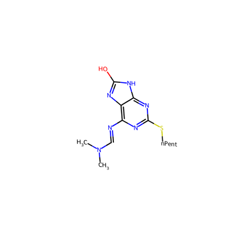 CCCCCSc1nc(/N=C/N(C)C)c2nc(O)[nH]c2n1